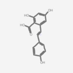 O=C(O)c1c(O)cc(O)cc1/C=C/c1ccc(O)cc1